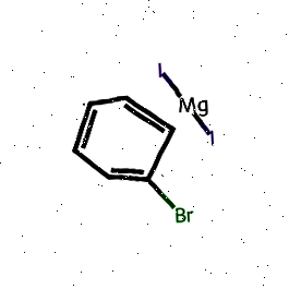 Brc1cc[c]cc1.[I][Mg][I]